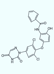 O=C(Nc1cc(Oc2c(Cl)cc(-n3ncc(=O)[nH]c3=O)cc2Cl)ccc1O)c1ccccc1